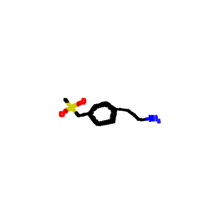 CS(=O)(=O)Cc1ccc(CCN)cc1